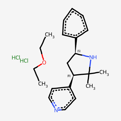 CC1(C)N[C@H](c2ccccc2)C[C@@H]1c1ccncc1.CCOCC.Cl.Cl